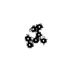 c1ccc(-n2c3ccc(-n4c5ccccc5c5ccncc54)cc3c3cc(-n4c5ccccc5c5cccnc54)ccc32)cc1